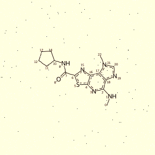 CNc1nc2sc(C(=O)NC3CCCC3)nc2c2c1ncn2C